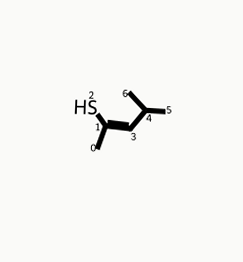 CC(S)=CC(C)C